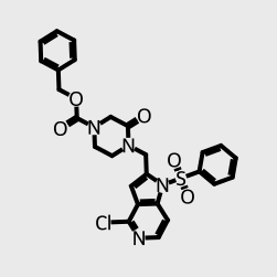 O=C1CN(C(=O)OCc2ccccc2)CCN1Cc1cc2c(Cl)nccc2n1S(=O)(=O)c1ccccc1